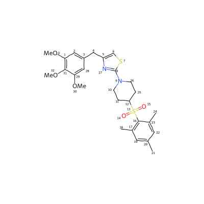 COc1cc(Cc2csc(N3CCC(S(=O)(=O)c4c(C)cc(C)cc4C)CC3)n2)cc(OC)c1OC